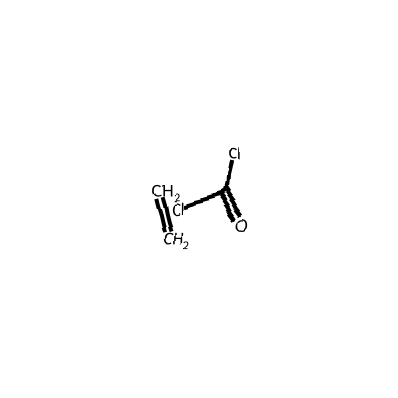 C=C.O=C(Cl)Cl